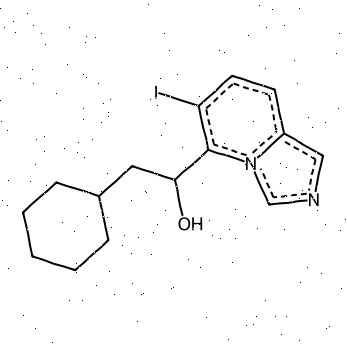 OC(CC1CCCCC1)c1c(I)ccc2cncn12